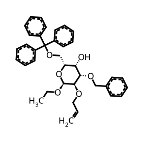 C=CCO[C@H]1[C@@H](OCC)O[C@H](COC(c2ccccc2)(c2ccccc2)c2ccccc2)[C@H](O)[C@@H]1OCc1ccccc1